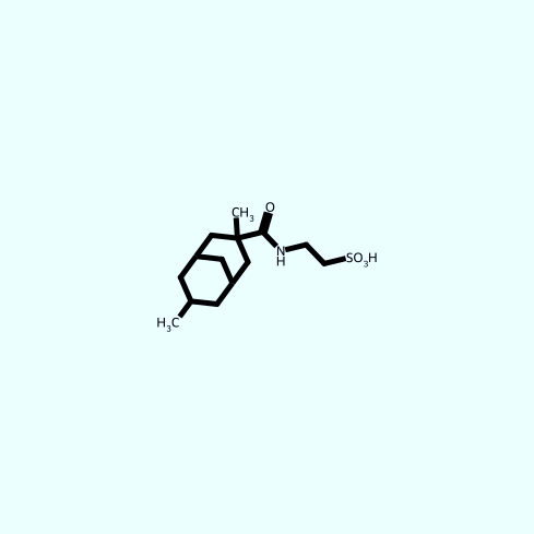 CC1CC2CC(C1)CC(C)(C(=O)NCCS(=O)(=O)O)C2